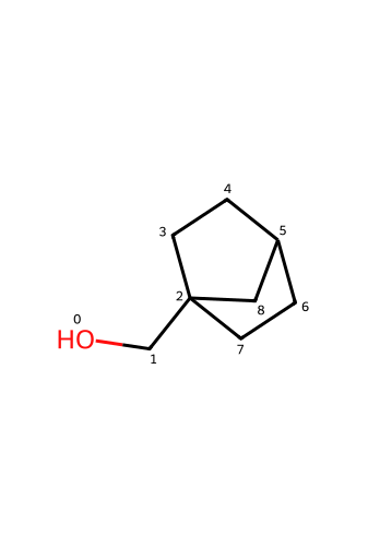 OCC12CCC(CC1)C2